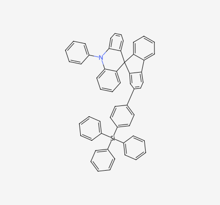 c1ccc(N2c3ccccc3C3(c4ccccc4-c4ccc(-c5ccc([Si](c6ccccc6)(c6ccccc6)c6ccccc6)cc5)cc43)c3ccccc32)cc1